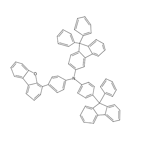 c1ccc(C2(c3ccc(N(c4ccc(-c5cccc6c5oc5ccccc56)cc4)c4ccc5c(c4)-c4ccccc4C5(c4ccccc4)c4ccccc4)cc3)c3ccccc3-c3ccccc32)cc1